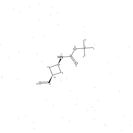 CC(C)(C)OC(=O)N[C@H]1C[C@@H](C=O)C1